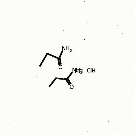 CCC(N)=O.CCC(N)=O.Cl.Cl